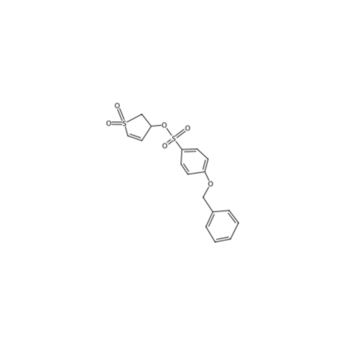 O=S1(=O)C=CC(OS(=O)(=O)c2ccc(OCc3ccccc3)cc2)C1